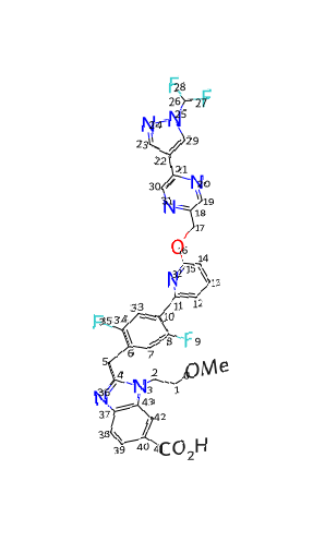 COCCn1c(Cc2cc(F)c(-c3cccc(OCc4cnc(-c5cnn(C(F)F)c5)cn4)n3)cc2F)nc2ccc(C(=O)O)cc21